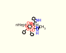 CCCCCCCOC1C(O)C(OC(C)c2c[nH]c3ccccc23)C(OC(=O)c2nc(C)c[nH]2)C(OCc2ccccc2)C1OCc1ccccc1